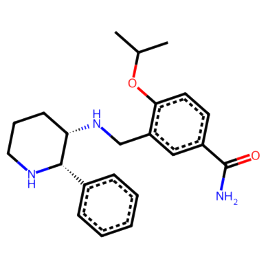 CC(C)Oc1ccc(C(N)=O)cc1CN[C@H]1CCCN[C@H]1c1ccccc1